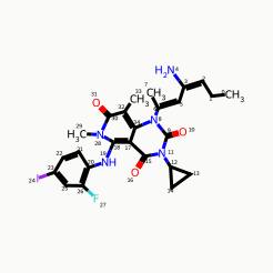 CC/C=C(N)\C=C(/C)n1c(=O)n(C2CC2)c(=O)c2c(Nc3ccc(I)cc3F)n(C)c(=O)c(C)c21